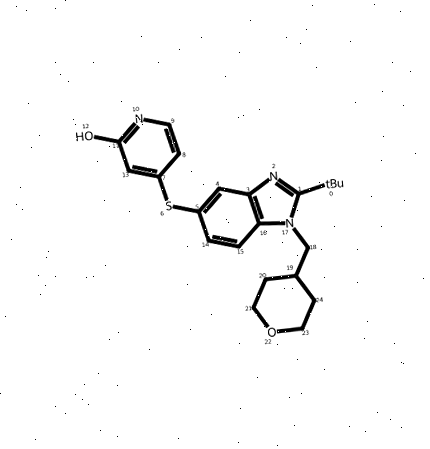 CC(C)(C)c1nc2cc(Sc3ccnc(O)c3)ccc2n1CC1CCOCC1